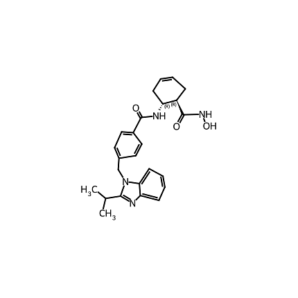 CC(C)c1nc2ccccc2n1Cc1ccc(C(=O)N[C@@H]2CC=CC[C@H]2C(=O)NO)cc1